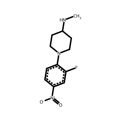 CNC1CCN(c2ccc([N+](=O)[O-])cc2F)CC1